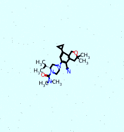 CC(C)[C@@H]1CN(c2cc(C3CC3)c3c(c2C#N)CC(C)(C)OC3)CCN1C(=O)N(C)C